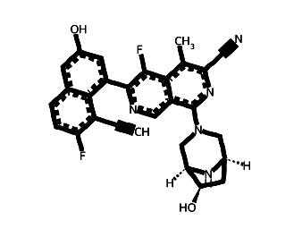 C#Cc1c(F)ccc2cc(O)cc(-c3ncc4c(N5C[C@H]6C[C@@H](O)[C@@H](C5)N6)nc(C#N)c(C)c4c3F)c12